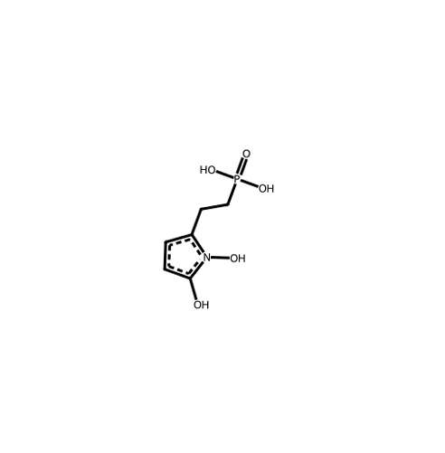 O=P(O)(O)CCc1ccc(O)n1O